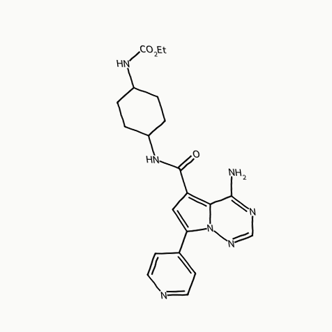 CCOC(=O)NC1CCC(NC(=O)c2cc(-c3ccncc3)n3ncnc(N)c23)CC1